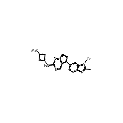 CO[C@H]1C[C@@H](Nc2ncc3c(-c4cnc5nc(C)n(C(C)C)c5c4)ccn3n2)C1